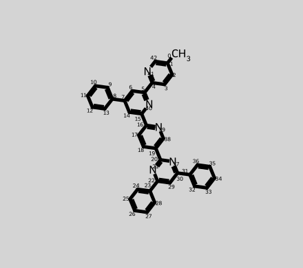 Cc1ccc(-c2cc(-c3ccccc3)cc(-c3ccc(-c4nc(-c5ccccc5)cc(-c5ccccc5)n4)cn3)n2)nc1